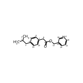 CC(C)Cc1ccc(CC(=O)OCc2cccnc2)cc1